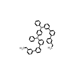 C=Cc1cccc(-c2cccc(-c3cccc(N(c4ccccc4)c4ccc(N(c5ccccc5)c5cccc(-c6cccc(-c7cccc(C=C)c7)c6)c5)cc4)c3)c2)c1